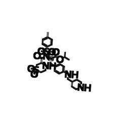 Cc1ccc(S(=O)(=O)N(C(=O)C2CS(=O)(=O)CCN2)[C@@H](Cc2ccc(NCC3CCNCC3)cc2)C(=O)OC(C)C)cc1